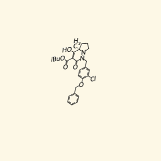 CC(C)COC(=O)C1=C(O)[C@@]2(C)CCCN2N(Cc2ccc(OCc3ccccc3)c(Cl)c2)C1=O